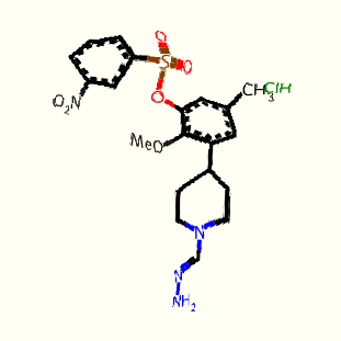 COc1c(OS(=O)(=O)c2cccc([N+](=O)[O-])c2)cc(C)cc1C1CCN(C=NN)CC1.Cl